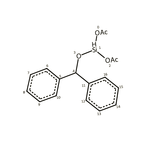 CC(=O)O[SiH](OC(C)=O)OC(c1ccccc1)c1ccccc1